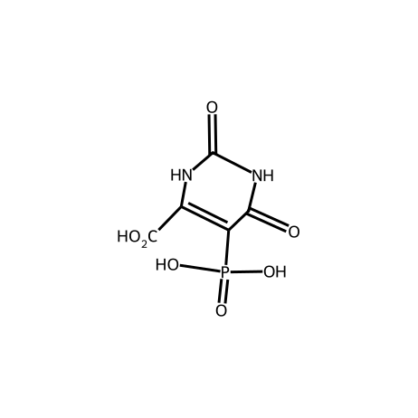 O=C(O)c1[nH]c(=O)[nH]c(=O)c1P(=O)(O)O